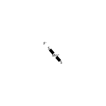 [F-].[S]=[Mo+]=[S]